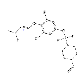 C=CC1CCC(C(F)(F)Oc2cc(F)c(O/C=C/C(F)F)c(Cl)c2)CC1